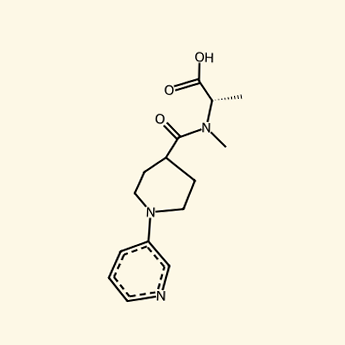 C[C@@H](C(=O)O)N(C)C(=O)C1CCN(c2cccnc2)CC1